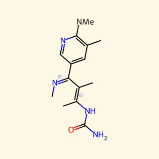 C/N=C(\C(C)=C(/C)NC(N)=O)c1cnc(NC)c(C)c1